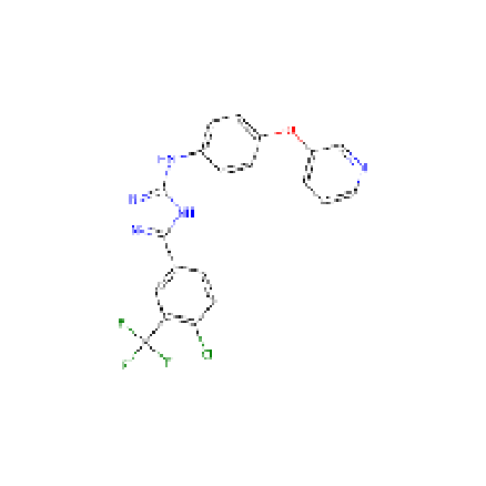 FC(F)(F)c1cc(-c2nnc(Nc3ccc(Oc4cccnc4)cc3)[nH]2)ccc1Cl